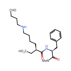 CNC(=O)[C@H](Cc1ccccc1)NC(=O)[C@H](CCCCNCCCC=O)CC(=O)O